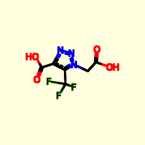 O=C(O)Cn1nnc(C(=O)O)c1C(F)(F)F